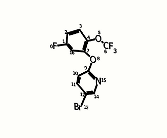 Fc1ccc(OC(F)(F)F)c(Oc2ccc(Br)cn2)c1